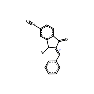 [C-]#[N+]c1ccc2c(c1)C(Br)/C(=C\c1ccccc1)C2=O